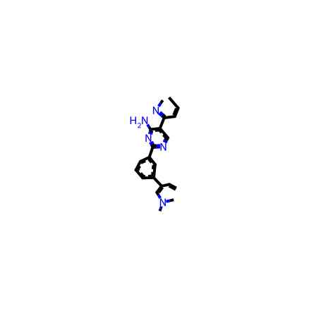 C=C/C(=C\N(C)C)c1cccc(-c2ncc(C(/C=C\C)=N/C)c(N)n2)c1